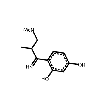 CNCC(C)C(=N)c1ccc(O)cc1O